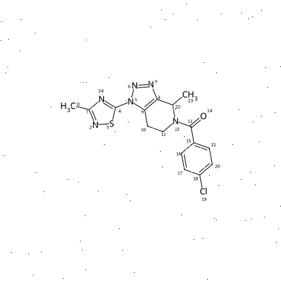 Cc1nsc(-n2nnc3c2CCN(C(=O)c2ccc(Cl)cc2)C3C)n1